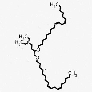 CCCCC/C=C\C/C=C\CCCCCCCCOC[C@@H](CCN(CC)CC)OCCCCCCCC/C=C\C/C=C\CCCCC